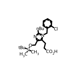 CCCCc1nc(CO[Si](C)(C)C(C)(C)C)c(CCC(=O)O)n1Cc1ccccc1Cl